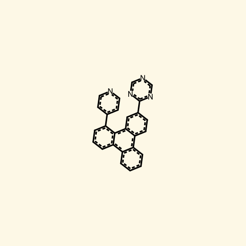 c1ccc2c(c1)c1ccc(-c3ncncn3)cc1c1c(-c3ccncc3)cccc21